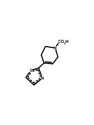 O=C(O)N1CC=C(c2nccs2)CC1